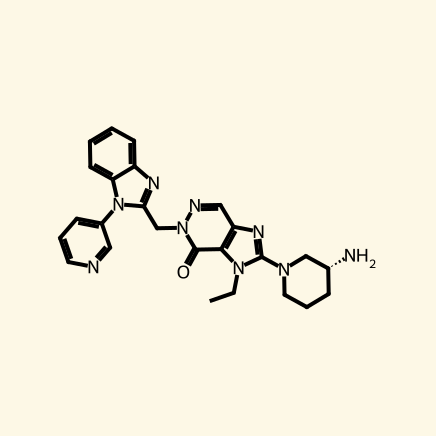 CCn1c(N2CCC[C@@H](N)C2)nc2cnn(Cc3nc4ccccc4n3-c3cccnc3)c(=O)c21